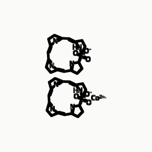 O=S(=O)([O-])C12CCC(=N1)C=C1CCC(=N1)C=C1CCC(=N1)C=C1CCC2N1.O=S(=O)([O-])C12CCC(=N1)C=C1CCC(=N1)C=C1CCC(=N1)C=C1CCC2N1.[Co+2]